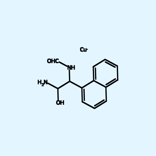 NC(O)C(NC=O)c1cccc2ccccc12.[Cu]